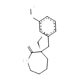 CC[C@@]1(Cc2cccc(OC)c2)CCCCNC1=O